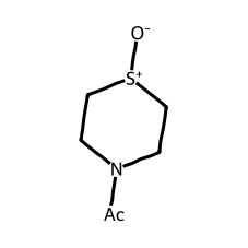 CC(=O)N1CC[S+]([O-])CC1